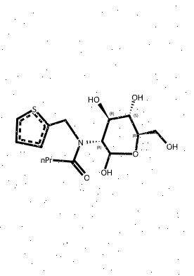 CCCC(=O)N(Cc1cccs1)[C@H]1C(O)O[C@H](CO)[C@@H](O)[C@@H]1O